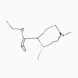 CCOC(=O)C1CCN(C)C[C@@H]1C